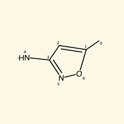 Cc1cc([NH])no1